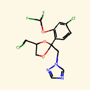 FC(F)Oc1cc(Cl)ccc1C1(Cn2cncn2)OCC(CCl)O1